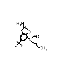 CCCCN(C=O)c1cc(C(F)(F)F)cc2c1OCN(N)C2